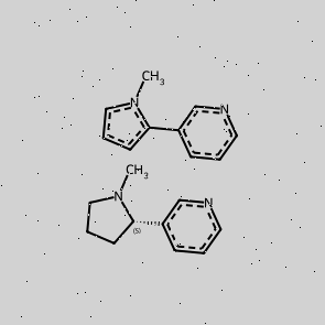 CN1CCC[C@H]1c1cccnc1.Cn1cccc1-c1cccnc1